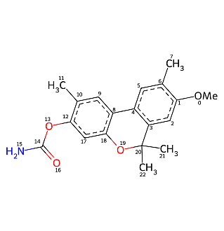 COc1cc2c(cc1C)-c1cc(C)c(OC(N)=O)cc1OC2(C)C